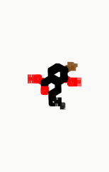 C=CCc1c(C(=O)O)ccc(Br)c1O